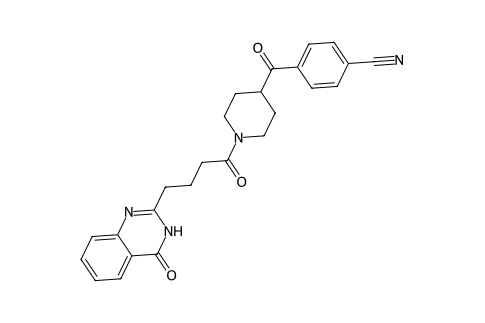 N#Cc1ccc(C(=O)C2CCN(C(=O)CCCc3nc4ccccc4c(=O)[nH]3)CC2)cc1